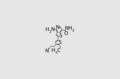 CCc1sc(-c2cc3c(N)ncc(C(N)=O)c3s2)cc1CCC#N